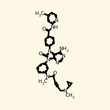 Cc1ccnc(NC(=O)c2ccc(-n3c(=O)n(-c4cccc(N(C)C(=O)C#CCN(C)C5CC5)c4)c4ncnc(N)c43)cc2)c1